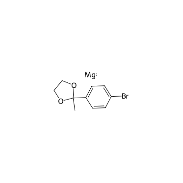 CC1(c2ccc(Br)cc2)OCCO1.[Mg]